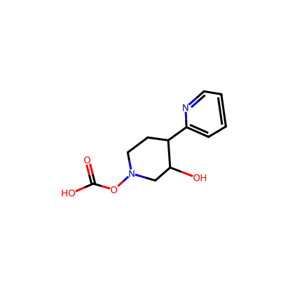 O=C(O)ON1CCC(c2ccccn2)C(O)C1